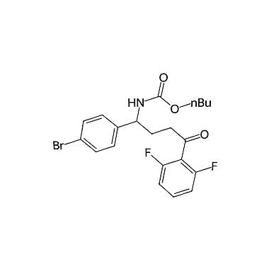 CCCCOC(=O)NC(CCC(=O)c1c(F)cccc1F)c1ccc(Br)cc1